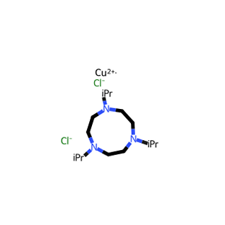 CC(C)N1CCN(C(C)C)CCN(C(C)C)CC1.[Cl-].[Cl-].[Cu+2]